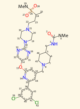 CNC(=O)NCC1CCN(Cc2cc(Oc3cnc(N4CCN(CCC(C)S(=O)(=O)NC)CC4)nc3)nc(-c3cc(Cl)cc(Cl)c3)c2)CC1